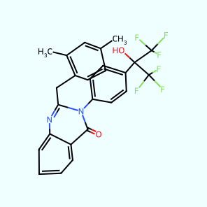 Cc1ccc(Cc2nc3ccccc3c(=O)n2-c2ccc(C(O)(C(F)(F)F)C(F)(F)F)cc2)c(C)c1